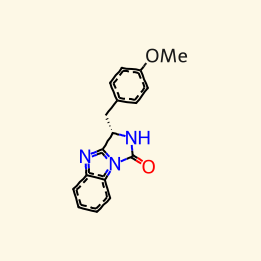 COc1ccc(C[C@@H]2NC(=O)n3c2nc2ccccc23)cc1